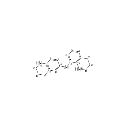 c1cc2c(c(Nc3ccc4c(c3)CCCN4)c1)NCCC2